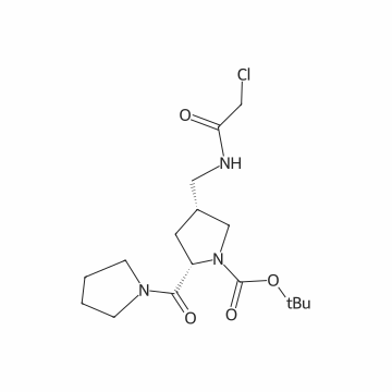 CC(C)(C)OC(=O)N1C[C@@H](CNC(=O)CCl)C[C@H]1C(=O)N1CCCC1